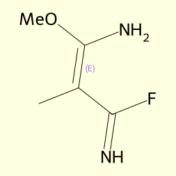 CO/C(N)=C(\C)C(=N)F